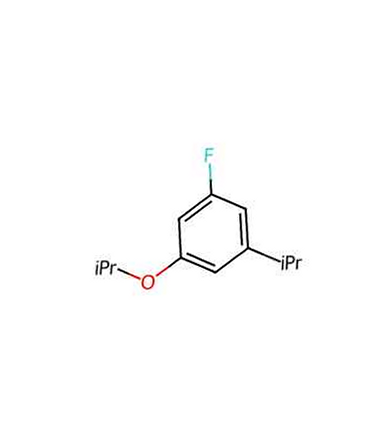 CC(C)Oc1cc(F)cc(C(C)C)c1